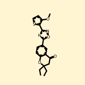 CCC1(CC)CC(=O)c2cc(-c3nc(-c4sccc4OC)no3)ccc2O1